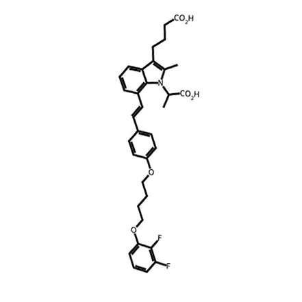 Cc1c(CCCC(=O)O)c2cccc(C=Cc3ccc(OCCCCOc4cccc(F)c4F)cc3)c2n1C(C)C(=O)O